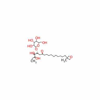 CC[C@@H](O)[C@@H](O)[C@H](COC1OC(CO)C(O)C(O)C1O)CC(=O)CCCCCCCCCCC1(C)COC1